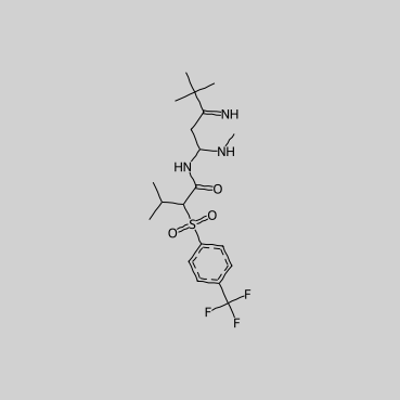 CNC(CC(=N)C(C)(C)C)NC(=O)C(C(C)C)S(=O)(=O)c1ccc(C(F)(F)F)cc1